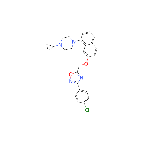 Clc1ccc(-c2noc(COc3ccc4cccc(N5CCN(C6CC6)CC5)c4c3)n2)cc1